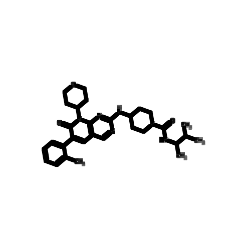 Cc1ccccc1-c1cc2cnc(NC3CCN(C(=O)NC(C)C(C)C)CC3)nc2n(C2CCOCC2)c1=O